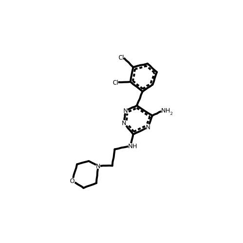 Nc1nc(NCCN2CCOCC2)nnc1-c1cccc(Cl)c1Cl